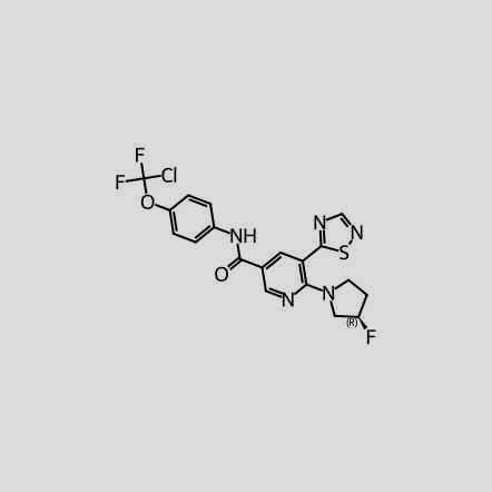 O=C(Nc1ccc(OC(F)(F)Cl)cc1)c1cnc(N2CC[C@@H](F)C2)c(-c2ncns2)c1